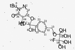 CC(C)(C)n1ncc(OC(O)(O)c2ccc(COC(O)(O)C(O)(O)F)cc2)c(Cl)c1=O